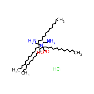 CCCCCCCCCCCCC(CN)(CCCCCCCCCCCC)N(CCN)C(CCCCCCCCCCCC)(CCCCCCCCCCCC)C(=O)O.Cl